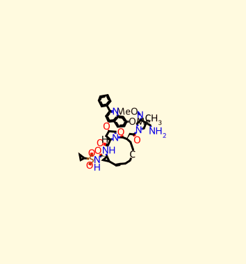 CO/N=C1\CN(C(=O)C[C@H]2CCCCC/C=C\C3C[C@@]3(C(=O)NS(=O)(=O)C3CC3)NC(=O)[C@@H]3C[C@@H](Oc4cc(-c5ccccc5)nc5cc(OC)ccc45)CN3C2=O)CC1(C)CN